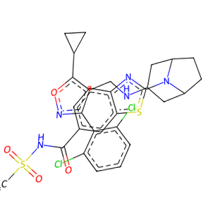 O=C(NS(=O)(=O)C(F)(F)F)c1ccc2nc(N3C4CCC3CC(NCc3c(-c5c(Cl)cccc5Cl)noc3C3CC3)C4)sc2c1